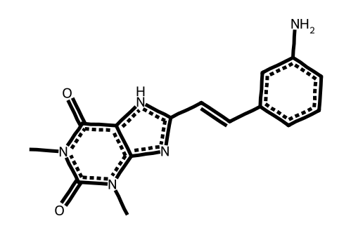 Cn1c(=O)c2[nH]c(C=Cc3cccc(N)c3)nc2n(C)c1=O